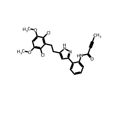 CC#CC(=O)Nc1ccccc1-c1cc(CCc2c(Cl)c(OC)cc(OC)c2Cl)[nH]n1